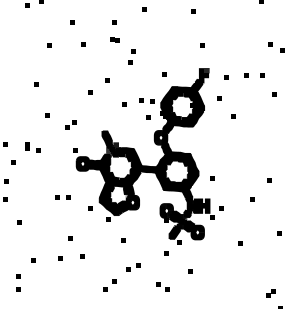 Cn1cc(-c2cc(NS(C)(=O)=O)ccc2Oc2ccc(F)cc2)c2occc2c1=O